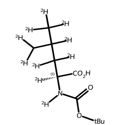 [2H]C([2H])C([2H])(C([2H])([2H])[2H])C([2H])([2H])[C@@]([2H])(C(=O)O)N([2H])C(=O)OC(C)(C)C